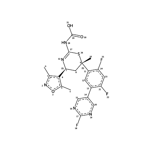 Cc1noc(C)c1[C@@H]1C[C@@](C)(c2cc(-c3cnc(F)nc3)c(F)cc2F)SC(NC(=O)O)=N1